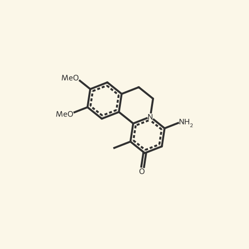 COc1cc2c(cc1OC)-c1c(C)c(=O)cc(N)n1CC2